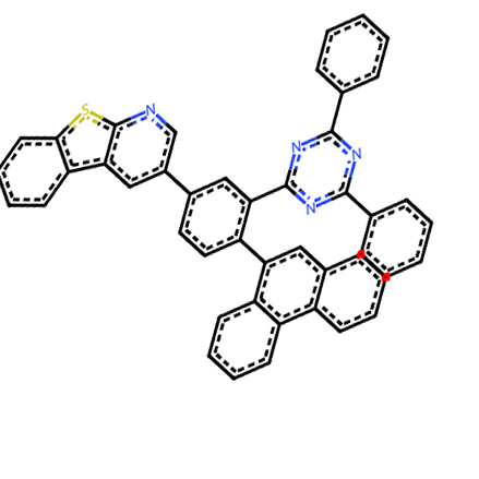 c1ccc(-c2nc(-c3ccccc3)nc(-c3cc(-c4cnc5sc6ccccc6c5c4)ccc3-c3cc4ccccc4c4ccccc34)n2)cc1